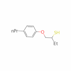 CCCc1ccc(OCC(S)CC)cc1